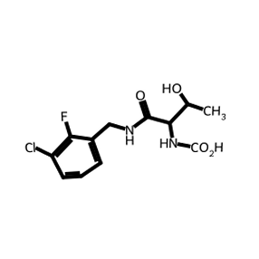 CC(O)C(NC(=O)O)C(=O)NCc1cccc(Cl)c1F